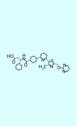 Cc1nc(COc2ncccn2)sc1-c1cccc(-c2ccc(C(=O)NC(CC(=O)O)c3ccccc3)cc2)n1